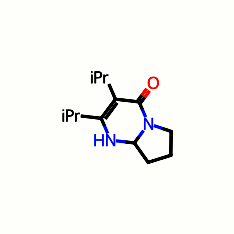 CC(C)C1=C(C(C)C)C(=O)N2CCCC2N1